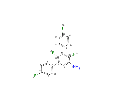 Nc1cc(-c2ccc(F)cc2)c(F)c(-c2ccc(F)cc2)c1F